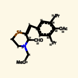 COCN1CCSC(=Cc2cc(C(C)C)c(OC(C)=O)c(C(C)C)c2)C1C=O